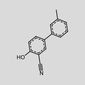 Cc1cccc(-c2ccc(O)c(C#N)c2)c1